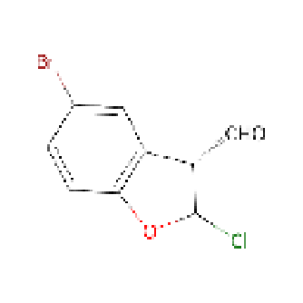 O=C[C@H]1c2cc(Br)ccc2OC1Cl